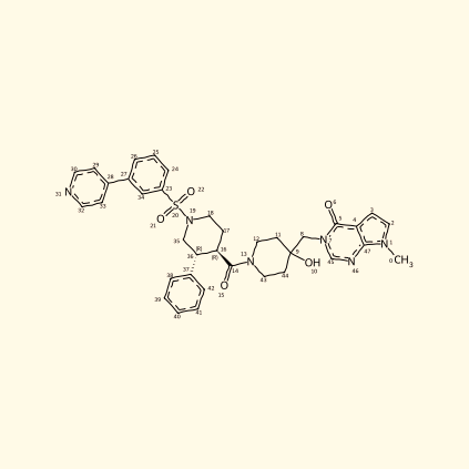 Cn1ccc2c(=O)n(CC3(O)CCN(C(=O)[C@@H]4CCN(S(=O)(=O)c5cccc(-c6ccncc6)c5)C[C@H]4c4ccccc4)CC3)cnc21